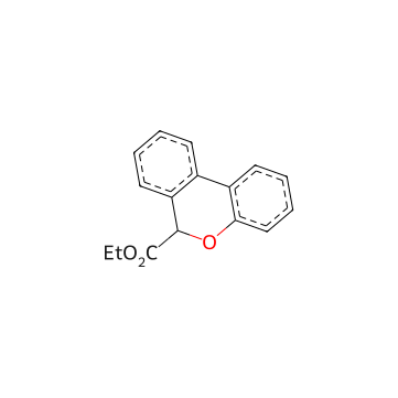 CCOC(=O)C1Oc2ccccc2-c2ccccc21